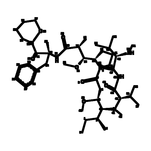 CC[C@H](C)[C@@H]([C@@H](CC(=O)N1CCC[C@H]1[C@H](OC)[C@@H](C)C(=O)N[C@@](C)(Cc1ccccc1)C(=O)N1CCCCO1)OC)N(C)[C@H](C(=O)NC(=O)[C@@H](NC)C(C)C)C(C)C